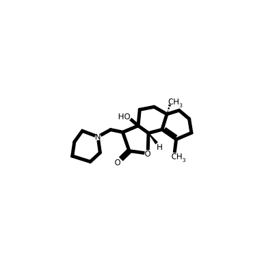 CC1=C2[C@@H]3OC(=O)C(CN4CCCCC4)C3(O)CC[C@@]2(C)CCC1